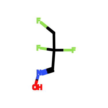 O/N=C/C(F)(F)CF